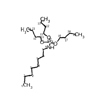 CCCCCCCCN[Si](OCCCC)(OCCCC)OCCCC